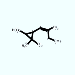 COCC(C)=CC1C(C(=O)O)C1(C)C